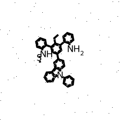 CCc1c(-c2ccccc2N)cc(-c2ccc3c(c2)c2ccccc2n3-c2ccccc2)cc1-c1ccccc1NSC